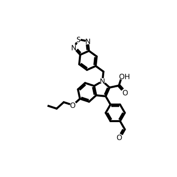 CCCOc1ccc2c(c1)c(-c1ccc(C=O)cc1)c(C(=O)O)n2Cc1ccc2nsnc2c1